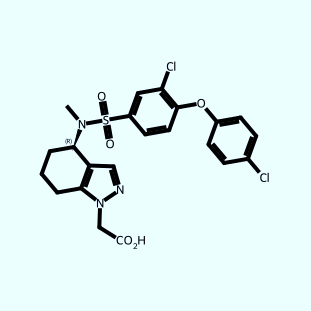 CN([C@@H]1CCCc2c1cnn2CC(=O)O)S(=O)(=O)c1ccc(Oc2ccc(Cl)cc2)c(Cl)c1